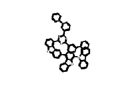 c1ccc(-c2cccc(-c3nc(-c4cccc(-c5ccccc5)c4)nc(-c4cccc5oc6ccc(-c7ccc(-n8c9ccccc9c9ccccc98)c8oc9ccccc9c78)cc6c45)n3)c2)cc1